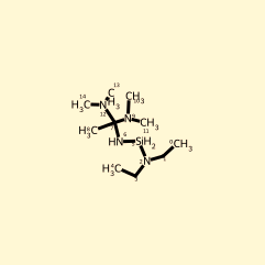 CCN(CC)[SiH2]NC(C)(N(C)C)N(C)C